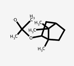 CC(C)([O])OC1CC2CCC1(C)C2(C)C